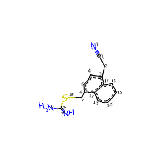 N#CCc1ccc(CSC(=N)N)c2ccccc12